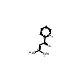 CSC(=CC(=O)c1ccccn1)SC